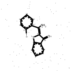 N/C(=C1/Sc2ccccc2C1=O)c1ccccc1I